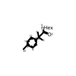 CCCCCCC(=O)C(C)(C)c1ccc(C)cc1